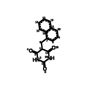 O=C1NC(=O)C(Cc2cccc3ccccc23)C(=O)N1